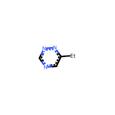 CCc1[c]ncnn1